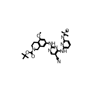 COc1cc(Nc2ncc(C#N)c(Nc3cccc(N=S(C)(C)=O)n3)n2)cc2c1CCN(C(=O)OC(C)(C)C)C2